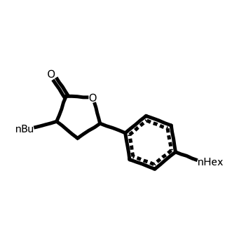 CCCCCCc1ccc(C2CC(CCCC)C(=O)O2)cc1